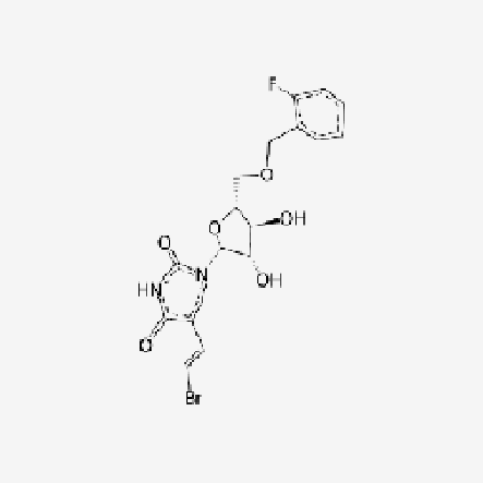 O=c1[nH]c(=O)n([C@@H]2O[C@H](COCc3ccccc3F)[C@@H](O)[C@@H]2O)cc1/C=C/Br